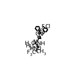 C[C@H](NC(=O)[C@@H]1NC(C23CC(N(Cc4ccc(Cl)c(F)c4)S(=O)(=O)c4ccccc4)(C2)C3)=NC1(C)C)C(F)(F)F